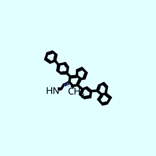 C=c1c(-c2cccc(-c3cccc4ccccc34)c2)c2ccccc2c(-c2ccc(-c3ccccc3)cc2)/c1=C/C=N